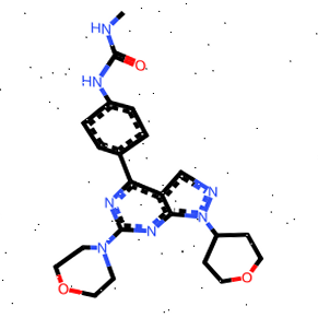 CNC(=O)Nc1ccc(-c2nc(N3CCOCC3)nc3c2cnn3C2CCOCC2)cc1